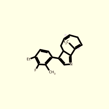 CCc1ccc(C2=CN=C3/C(C)=C/C/C=C\CC23)c(C)c1F